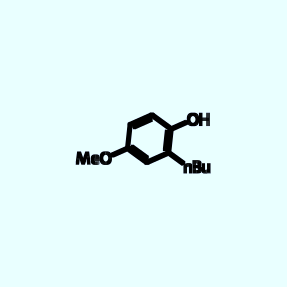 CCCCc1cc(OC)ccc1O